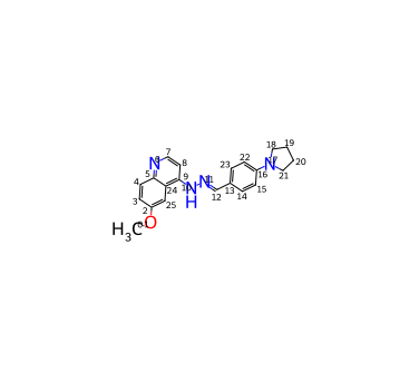 COc1ccc2nccc(NN=Cc3ccc(N4CCCC4)cc3)c2c1